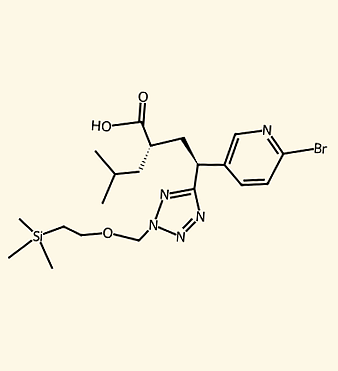 CC(C)C[C@@H](C[C@@H](c1ccc(Br)nc1)c1nnn(COCC[Si](C)(C)C)n1)C(=O)O